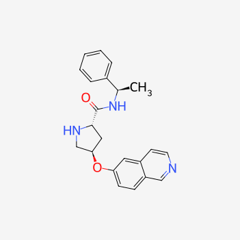 C[C@@H](NC(=O)[C@@H]1C[C@@H](Oc2ccc3cnccc3c2)CN1)c1ccccc1